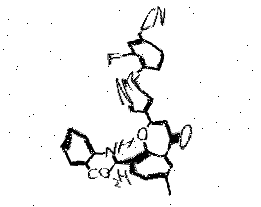 Cc1cc([C@@H](C)Nc2ccccc2C(=O)O)c2oc(-c3cnn(-c4ccc(C#N)cc4F)c3)cc(=O)c2c1